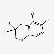 CCc1ccc2c(c1Cl)CC(F)(F)CO2